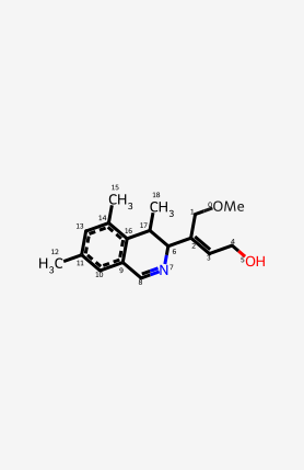 COC/C(=C\CO)C1N=Cc2cc(C)cc(C)c2C1C